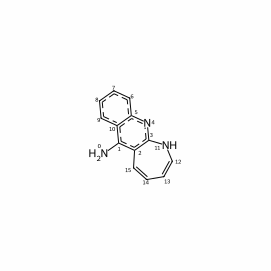 Nc1c2c(nc3ccccc13)NC=CC=C2